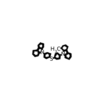 CC1CC=Cc2c1n(-c1ccc(Sc3ccc(-n4c5ccccc5c5ccccc54)cc3)cc1)c1ccccc21